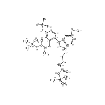 CN(Cc1cc(OC(F)(F)F)ccc1-c1cn(CCCNC(=O)OC(C)(C)C)c2ccc(C=O)cc12)C(=O)OC(C)(C)C